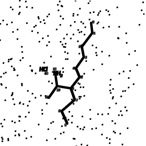 CCCCCCC(CCC)C(C)N.Cl